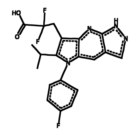 CC(C)c1c(CC(F)(F)C(=O)O)c2nc3[nH]ncc3cc2n1-c1ccc(F)cc1